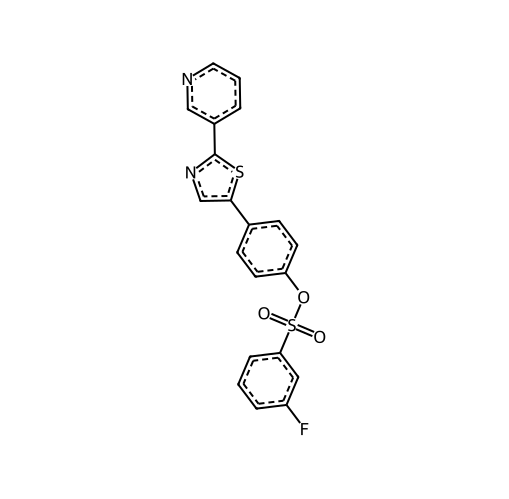 O=S(=O)(Oc1ccc(-c2cnc(-c3cccnc3)s2)cc1)c1cccc(F)c1